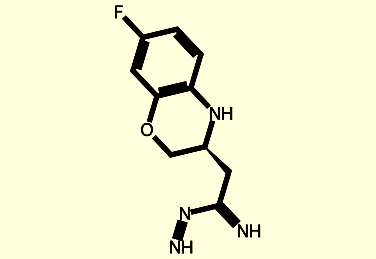 N=NC(=N)C[C@H]1COc2cc(F)ccc2N1